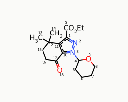 CCOC(=O)c1nn(C2CCCCO2)c2c1C(C)(C)CCC2=O